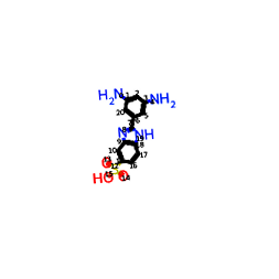 Nc1cc(N)cc(-c2nc3cc(S(=O)(=O)O)ccc3[nH]2)c1